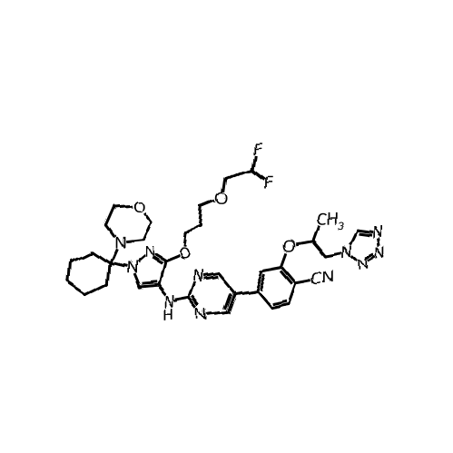 CC(Cn1cnnn1)Oc1cc(-c2cnc(Nc3cn(C4(N5CCOCC5)CCCCC4)nc3OCCCOCC(F)F)nc2)ccc1C#N